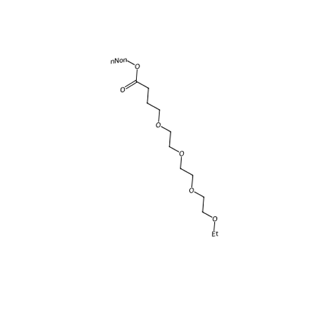 CCCCCCCCCOC(=O)CCCOCCOCCOCCOCC